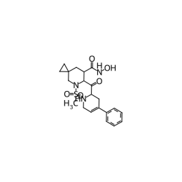 CS(=O)(=O)N1CC2(CC2)CC(C(=O)NO)C1C(=O)C1CC(c2ccccc2)=CCN1